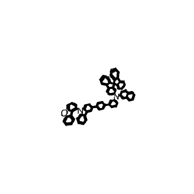 c1cc(-c2ccc(-c3ccc4c(c3)c3ccccc3n4-c3cccc4oc5ccccc5c34)cc2)cc(N(c2ccc3c(c2)C2(c4ccccc4-c4ccccc42)c2ccccc2-3)c2ccc3ccccc3c2)c1